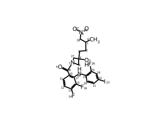 CC(CCC1(O)CN(C(=O)c2ccc(F)c(F)c2Nc2ccc(I)cc2F)C1)C[N+](=O)[O-]